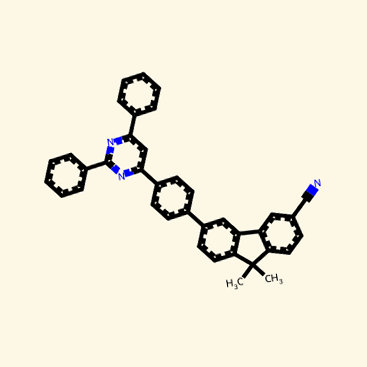 CC1(C)c2ccc(C#N)cc2-c2cc(-c3ccc(-c4cc(-c5ccccc5)nc(-c5ccccc5)n4)cc3)ccc21